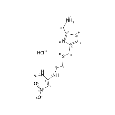 CNC(=C[N+](=O)[O-])NCCSCc1csc(CN)n1.Cl